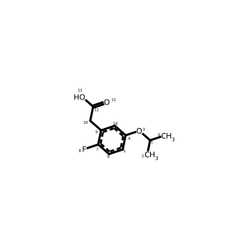 CC(C)Oc1ccc(F)c(CC(=O)O)c1